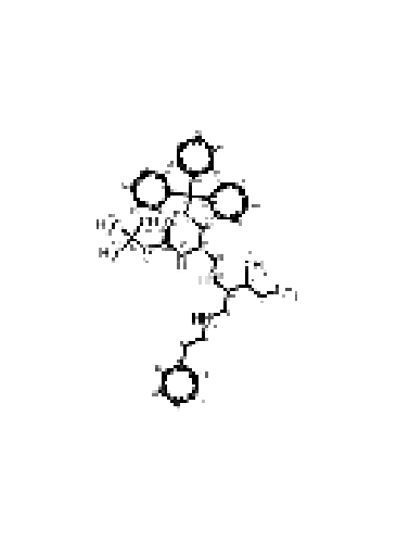 CCC(C)C(CNCCc1ccccc1)NC[C@H](CSC(c1ccccc1)(c1ccccc1)c1ccccc1)NC(=O)OC(C)(C)C